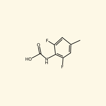 Cc1cc(F)c(NC(=O)O)c(F)c1